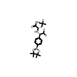 CC(C)(F)C[C@H](N[C@@H](c1ccc(B2OC(C)(C)C(C)(C)O2)cc1)C(F)F)C(N)=O